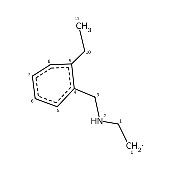 [CH2]CNCc1ccccc1CC